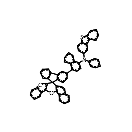 c1ccc(N(c2ccc3sc4ccccc4c3c2)c2ccc(-c3ccc4c(c3)-c3ccccc3C43c4ccc5ccccc5c4Oc4c3ccc3ccccc43)c3ccccc23)cc1